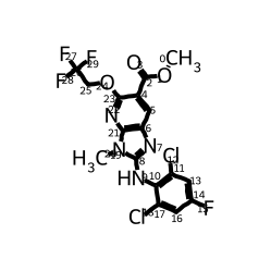 COC(=O)c1cc2nc(Nc3c(Cl)cc(F)cc3Cl)n(C)c2nc1OCC(F)(F)F